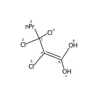 CCCC(Cl)(Cl)C(Cl)=C(O)O